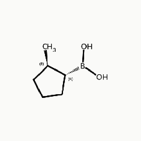 C[C@@H]1CCC[C@H]1B(O)O